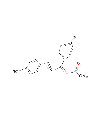 COC(=O)/C=C(/C=C/c1ccc(C#N)cc1)c1ccc(C#N)cc1